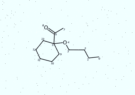 CCCCOC1(C(C)=O)CCCCC1